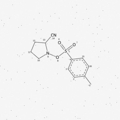 Cc1ccc(S(=O)(=O)ON2CCCC2C#N)cc1